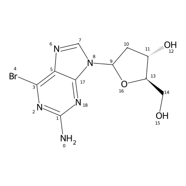 Nc1nc(Br)c2ncn(C3C[C@H](O)[C@@H](CO)O3)c2n1